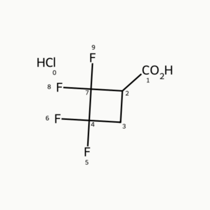 Cl.O=C(O)C1CC(F)(F)C1(F)F